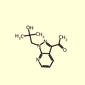 CC(=O)c1nn(CC(C)(C)O)c2ncccc12